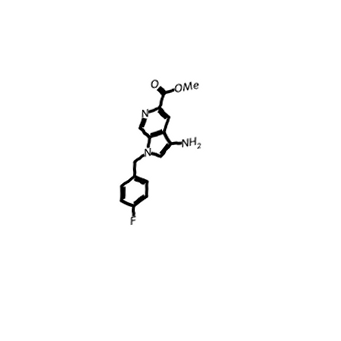 COC(=O)c1cc2c(N)cn(Cc3ccc(F)cc3)c2cn1